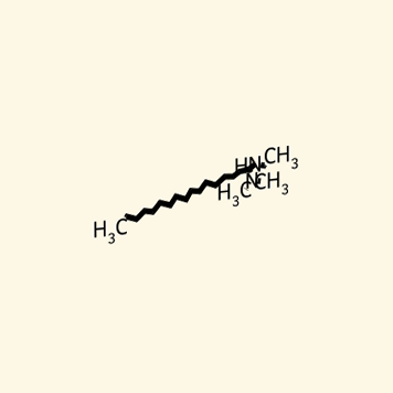 CCCCCCCCCCCCCCCCC(NCC)N(C)C